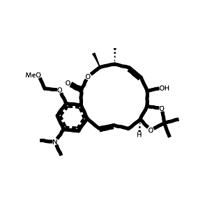 COCOc1cc(N(C)C)cc2c1C(=O)O[C@@H](C)[C@H](C)/C=C\C(O)C1OC(C)(C)O[C@H]1C/C=C/2